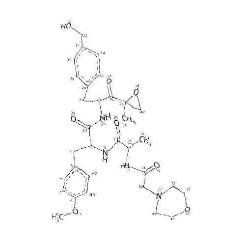 COc1ccc(CC(NC(=O)C(C)NC(=O)CN2CCOCC2)C(=O)NC(Cc2ccc(CO)cc2)C(=O)C2(C)CO2)cc1